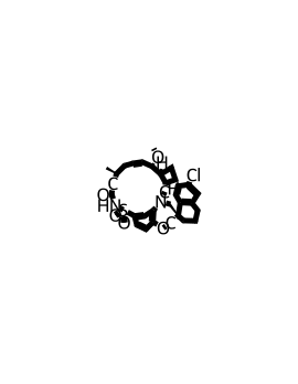 CO[C@@H]1C=CC[C@H](C)CC(=O)NS(=O)(=O)c2ccc3c(c2)N(C[C@@H]2CC[C@H]21)C[C@@]1(CCCc2cc(Cl)ccc21)CO3